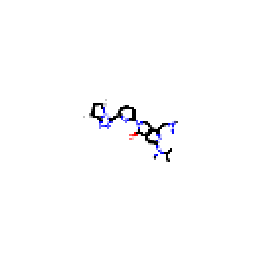 CNCc1nc(N(C)C(C)C)cc2c1CN(c1cccc(-c3nnc4n3[C@@H](C)C[C@H]4C)n1)C2=O